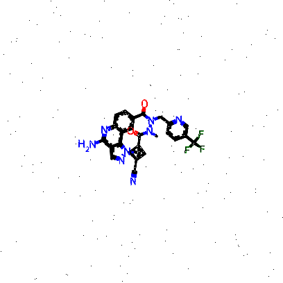 CN(C(=O)C12CC(C#N)(C1)C2)N(Cc1ccc(C(F)(F)F)cn1)C(=O)c1ccc2nc(N)c3cnn(C)c3c2c1